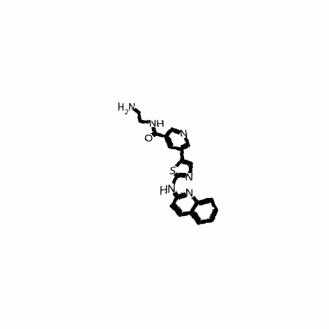 NCCNC(=O)c1cncc(-c2cnc(Nc3ccc4ccccc4n3)s2)c1